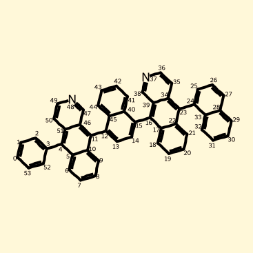 c1ccc(-c2c3ccccc3c(-c3ccc(-c4c5ccccc5c(-c5cccc6ccccc56)c5ccncc45)c4ccccc34)c3cnccc23)cc1